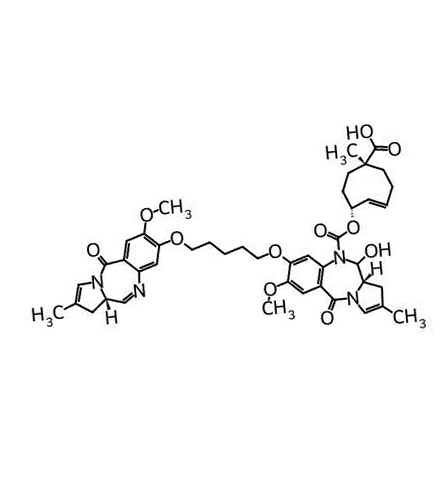 COc1cc2c(cc1OCCCCCOc1cc3c(cc1OC)C(=O)N1C=C(C)C[C@H]1C(O)N3C(=O)O[C@H]1/C=C/CC[C@@](C)(C(=O)O)CC1)N=C[C@@H]1CC(C)=CN1C2=O